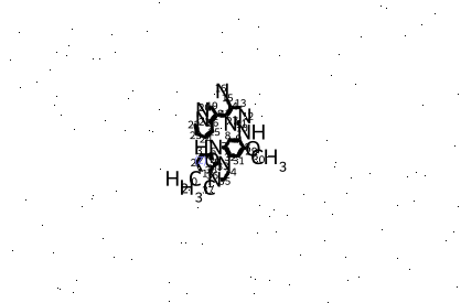 C=C/C=C\C(=O)Nc1cc(Nc2ncc(C#N)c(-c3cnn4ccccc34)n2)c(OC)cc1N1CCN(C)CC1